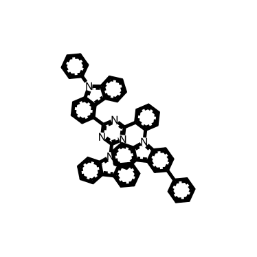 c1ccc(-c2ccc3c(c2)c2ccccc2n3-c2ccccc2-c2nc(-c3cccc4c3c3ccccc3n4-c3ccccc3)nc(-n3c4ccccc4c4ccccc43)n2)cc1